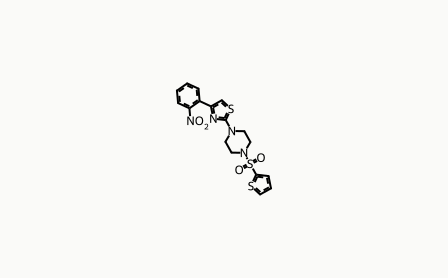 O=[N+]([O-])c1ccccc1-c1csc(N2CCN(S(=O)(=O)c3cccs3)CC2)n1